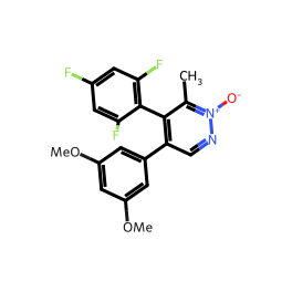 COc1cc(OC)cc(-c2cn[n+]([O-])c(C)c2-c2c(F)cc(F)cc2F)c1